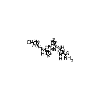 NC(=O)c1cc(Nc2nc(N3CCC[C@H]3C(=O)NCCn3cc(Cl)cn3)nn3cccc23)n[nH]1